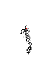 COC(C)c1ccc(C)cc1N1C(=O)CS/C1=N\C(=O)Nc1ccc(-c2nnc(-c3ccc(OC(F)(F)F)cc3)s2)cc1F